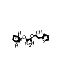 CC(Cc1cccs1)Oc1nsnc1O[C@H]1C[C@@H]2CC[C@H]1C2